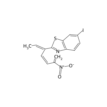 C=C(/C=C\C(=C/C)c1nc2ccc(I)cc2s1)[N+](=O)[O-]